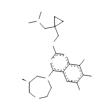 CN(C)CC1(COc2nc(N3CCOC[C@@H](O)C3)c3cc(F)c(Br)c(F)c3n2)CC1